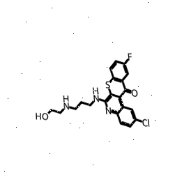 O=c1c2cc(F)ccc2sc2c(NCCCNCCO)nc3ccc(Cl)cc3c12